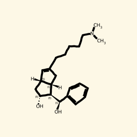 CN(C)CCCCCC1=C[C@H]2C[C@@H](O)[C@H]([C@H](O)c3ccccc3)[C@H]2C1